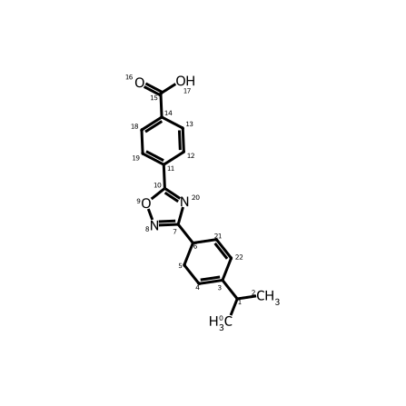 CC(C)C1=CCC(c2noc(-c3ccc(C(=O)O)cc3)n2)C=C1